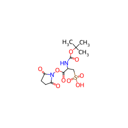 CC(C)(C)OC(=O)NC(CS(=O)(=O)O)C(=O)ON1C(=O)CCC1=O